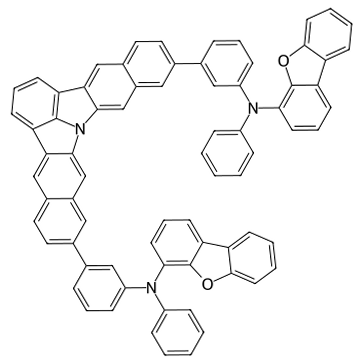 c1ccc(N(c2cccc(-c3ccc4cc5c6cccc7c8cc9ccc(-c%10cccc(N(c%11ccccc%11)c%11cccc%12c%11oc%11ccccc%11%12)c%10)cc9cc8n(c5cc4c3)c67)c2)c2cccc3c2oc2ccccc23)cc1